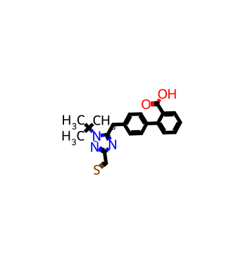 CC(C)(C)n1nc(C=S)nc1Cc1ccc(-c2ccccc2C(=O)O)cc1